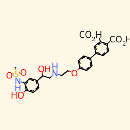 CS(=O)(=O)Nc1cc([C@@H](O)CNCCOc2ccc(-c3ccc(C(=O)O)c(C(=O)O)c3)cc2)ccc1O